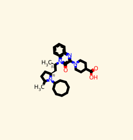 CC1CC[C@@H](C[C@H](C)n2c(=O)c(N3CCC(C(=O)O)CC3)nc3ccccc32)N1C1CCCCCCC1